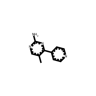 Cc1cnc(N)nc1-c1ccncc1